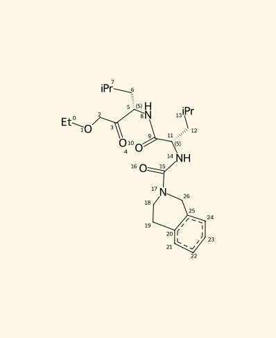 CCOCC(=O)[C@H](CC(C)C)NC(=O)[C@H](CC(C)C)NC(=O)N1CCc2ccccc2C1